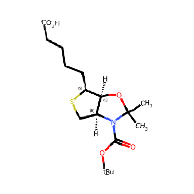 CC(C)(C)OC(=O)N1[C@H]2CS[C@@H](CCCCC(=O)O)[C@H]2OC1(C)C